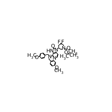 COc1ccc(CN(Cc2ccc(OC)cc2)c2nccc3c2[nH]c(=O)n3[C@@H]2CN(C(=O)OC(C)(C)C)CC(F)(F)C2)cc1